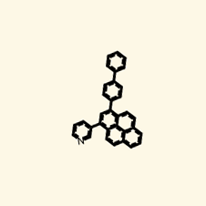 c1ccc(-c2ccc(-c3cc(-c4cccnc4)c4ccc5cccc6ccc3c4c65)cc2)cc1